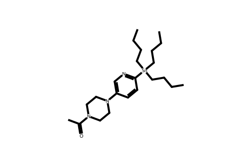 CCC[CH2][Sn]([CH2]CCC)([CH2]CCC)[c]1ccc(N2CCN(C(C)=O)CC2)cn1